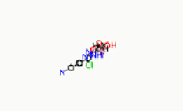 N#Cc1ccc(-c2ccc(-c3nc4nc(O[C@@H]5CO[C@H]6[C@@H]5OC[C@H]6O)[nH]c4cc3Cl)cc2)cc1